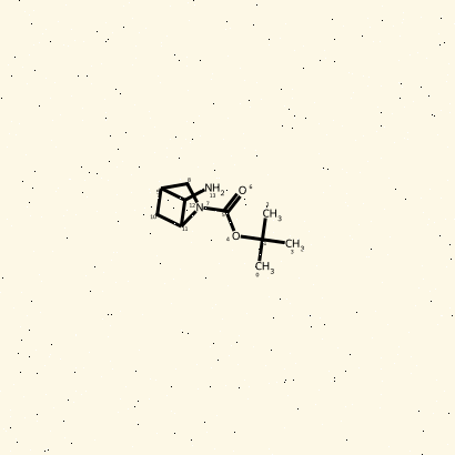 CC(C)(C)OC(=O)N1CC2CC1C2N